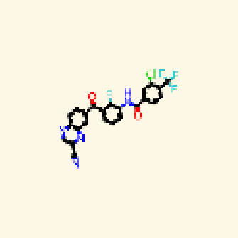 N#Cc1cnc2ccc(C(=O)c3cccc(NC(=O)c4ccc(C(F)(F)F)c(Cl)c4)c3F)cc2n1